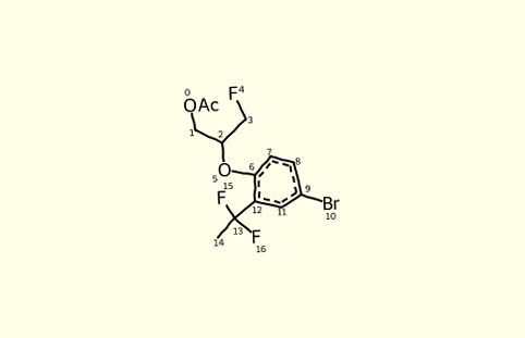 CC(=O)OCC(CF)Oc1ccc(Br)cc1C(C)(F)F